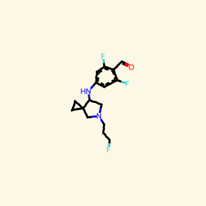 O=Cc1c(F)cc(NC2CN(CCCF)CC23CC3)cc1F